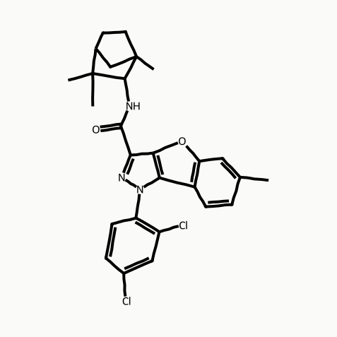 Cc1ccc2c(c1)oc1c(C(=O)NC3C4(C)CCC(C4)C3(C)C)nn(-c3ccc(Cl)cc3Cl)c12